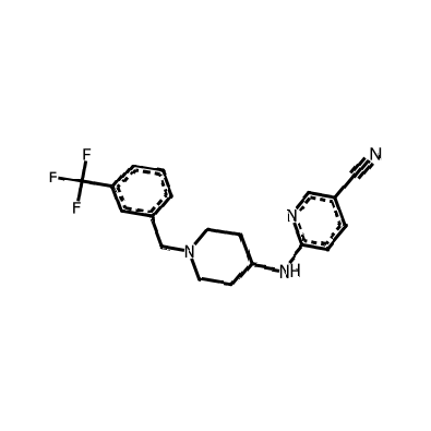 N#Cc1ccc(NC2CCN(Cc3cccc(C(F)(F)F)c3)CC2)nc1